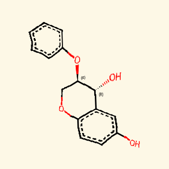 Oc1ccc2c(c1)[C@@H](O)[C@H](Oc1ccccc1)CO2